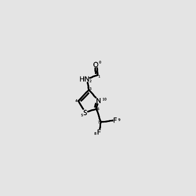 O=CNc1csc(C(F)F)n1